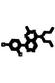 CCCN(CCC)c1nc(C)nc2c(-c3ccc(Cl)cc3Cl)nncc12